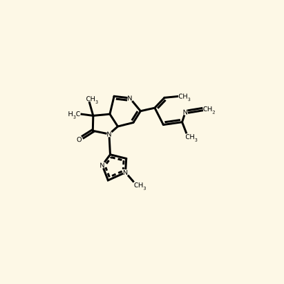 C=N/C(C)=C\C(=C/C)C1=CC2C(C=N1)C(C)(C)C(=O)N2c1cn(C)cn1